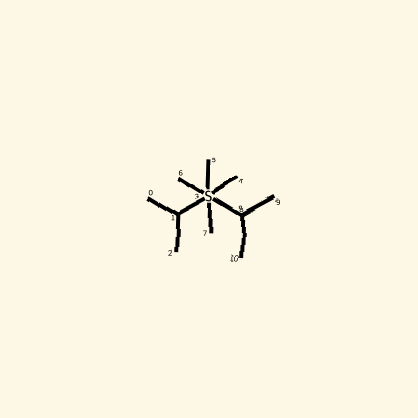 CC(C)S(C)(C)(C)(C)C(C)C